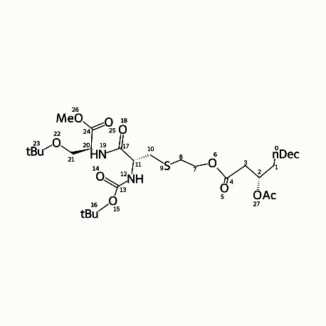 CCCCCCCCCCC[C@@H](CC(=O)OCCSC[C@H](NC(=O)OC(C)(C)C)C(=O)N[C@@H](COC(C)(C)C)C(=O)OC)OC(C)=O